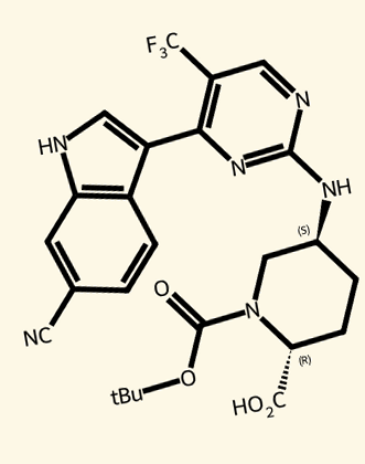 CC(C)(C)OC(=O)N1C[C@@H](Nc2ncc(C(F)(F)F)c(-c3c[nH]c4cc(C#N)ccc34)n2)CC[C@@H]1C(=O)O